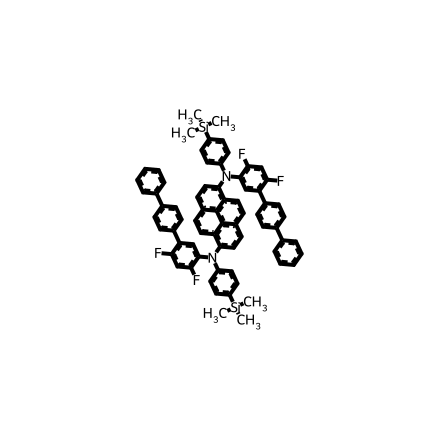 C[Si](C)(C)c1ccc(N(c2cc(-c3ccc(-c4ccccc4)cc3)c(F)cc2F)c2ccc3ccc4c(N(c5ccc([Si](C)(C)C)cc5)c5cc(-c6ccc(-c7ccccc7)cc6)c(F)cc5F)ccc5ccc2c3c54)cc1